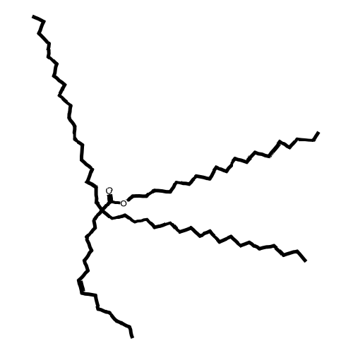 CCCCCC/C=C\CCCCCCC(CCCCCCCCCCCCCCCCCCC)(CCCCCCCCCCCCCCCCCCC)C(=O)OCCCCCCCCCCCCCCCCCCC